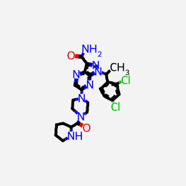 CC(c1ccc(Cl)cc1Cl)n1nc(C(N)=O)c2ncc(N3CCN(C(=O)C4CCCCN4)CC3)nc21